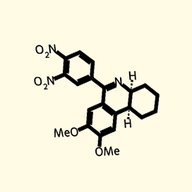 COc1cc2c(cc1OC)[C@@H]1CCCC[C@@H]1N=C2c1ccc([N+](=O)[O-])c([N+](=O)[O-])c1